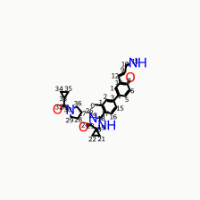 Cc1cc(-c2ccc3oc(C=N)cc3c2)ccc1C1NC2(CC2)C(=O)N1C[C@@H]1CCN(C(=O)C2CC2)C1